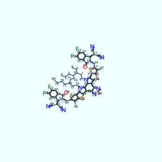 CCCCC(CC)CCn1c2c3sc(/C=C4\C(=O)c5cc(F)c(F)cc5C4=C(C#N)C#N)c(C)c3sc2c2c3nsnc3c3c4sc5c(C)c(/C=C6\C(=O)c7cc(F)c(F)cc7C6=C(C#N)C#N)sc5c4n(CCC(CC)CCCC)c3c21